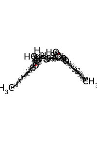 CCCCCCCCCCCCCCCOCOC1CCC(O)[SiH2]N(CCCSSCCCN2CCC(OCOCCCCCCCCCCCCCCC)CCC(O)[SiH2]2)CC1